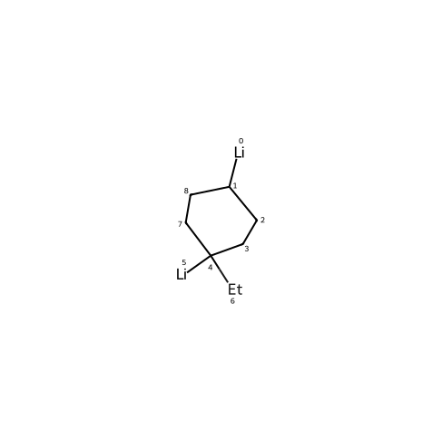 [Li][CH]1CC[C]([Li])(CC)CC1